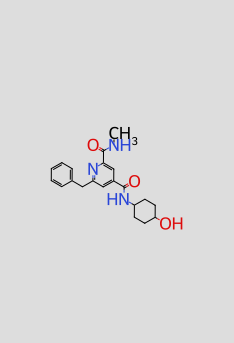 CNC(=O)c1cc(C(=O)NC2CCC(O)CC2)cc(Cc2ccccc2)n1